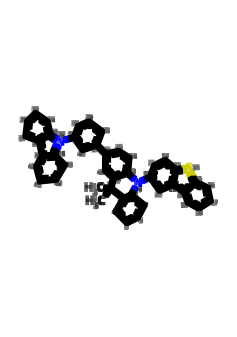 CC1(C)c2ccccc2N(c2ccc3sc4ccccc4c3c2)c2ccc(-c3cccc(-n4c5ccccc5c5ccccc54)c3)cc21